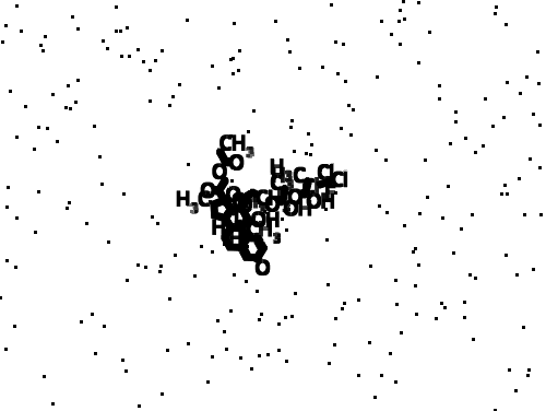 CCC(=O)O.CCC(=O)O.CCC(=O)OCC(=O)[C@@]1(OC(=O)CC)[C@@H](C)C[C@H]2[C@@H]3CCC4=CC(=O)C=C[C@]4(C)C3(Cl)[C@@H](O)C[C@@]21C.FC(Cl)(Cl)Cl